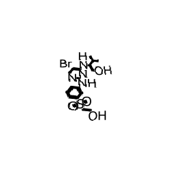 CC(C)C(CO)Nc1nc(Nc2cccc(S(=O)(=O)CCO)c2)ncc1Br